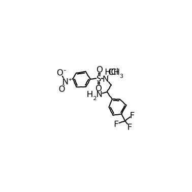 CN(CC(N)c1ccc(C(F)(F)F)cc1)S(=O)(=O)c1ccc([N+](=O)[O-])cc1.Cl